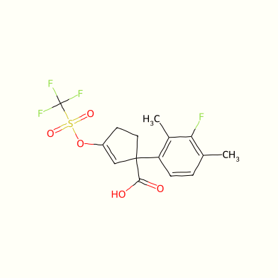 Cc1ccc(C2(C(=O)O)C=C(OS(=O)(=O)C(F)(F)F)CC2)c(C)c1F